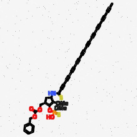 CC#CC#CC#CC#CC#CC#CC#CC#CC#CC#CC(=S)N[C@H]1C[C@H](COC(=O)OCc2ccccc2)[C@H](OP(O)(=S)OC)C1OC